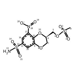 CS(=O)(=O)OC[C@H]1COc2cc(S(N)(=O)=O)cc([N+](=O)[O-])c2O1